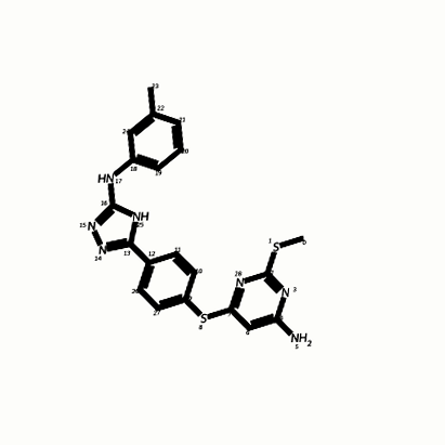 CSc1nc(N)cc(Sc2ccc(-c3nnc(Nc4cccc(C)c4)[nH]3)cc2)n1